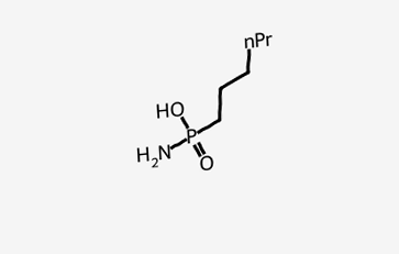 CCCCCCP(N)(=O)O